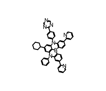 c1ccc(N2c3cc(-c4ccccn4)ccc3B3c4ccc(-c5ccccn5)cc4N(c4ccc(-c5ncncn5)cc4)c4cc(C5CCCCC5)cc2c43)cc1